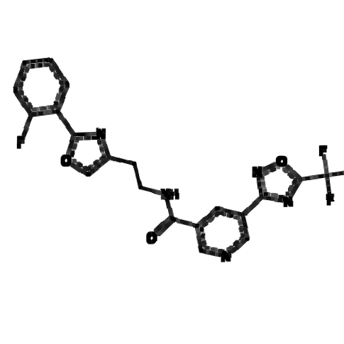 O=C(NCCc1coc(-c2ccccc2F)n1)c1cncc(-c2noc(C(F)(F)F)n2)c1